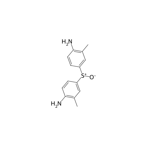 Cc1cc([S+]([O-])c2ccc(N)c(C)c2)ccc1N